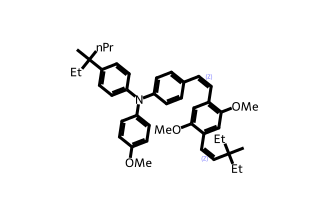 CCCC(C)(CC)c1ccc(N(c2ccc(/C=C\c3cc(OC)c(/C=C\C(C)(CC)CC)cc3OC)cc2)c2ccc(OC)cc2)cc1